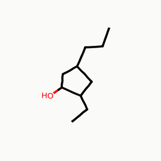 CCCC1CC(O)C(CC)C1